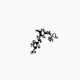 CO[SH](=O)=Nc1nc(C)c(/N=N/c2nc(SC)ns2)s1